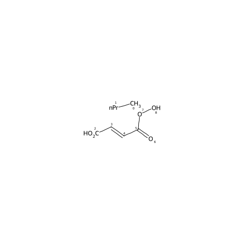 CCCC.O=C(O)C=CC(=O)OO